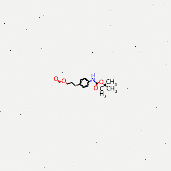 CC(C)(C)OC(=O)Nc1ccc(CCCOC=O)cc1